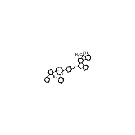 CCC1/C(c2cccc(-c3ccccc3)c2)=C\CC/C(c2ccc(CCC3Cc4ccccc4-c4c3ccc3c4-c4ccccc4C3(C)C)cc2)=N\C1c1ccccc1